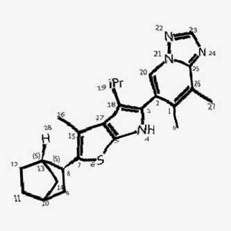 Cc1c(-c2[nH]c3sc([C@H]4CC5CC[C@H]4C5)c(C)c3c2C(C)C)cn2ncnc2c1C